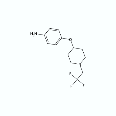 Nc1ccc(OC2CCN(CC(F)(F)F)CC2)cc1